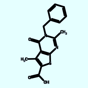 Cc1c(C(=O)O)sc2nc(C)n(Cc3ccccc3)c(=O)c12